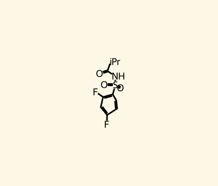 CC(C)C(=O)NS(=O)(=O)c1ccc(F)cc1F